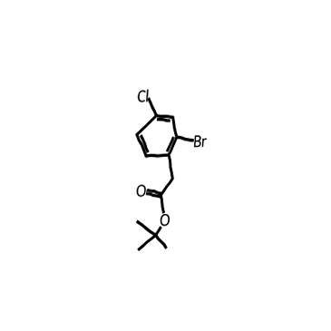 CC(C)(C)OC(=O)Cc1ccc(Cl)cc1Br